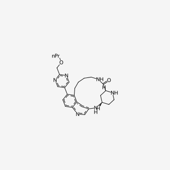 CCCOCc1ncc(-c2ccc3ncc4cc3c2CCCCNC(=O)[C@@H]2C[C@H](CCN2)N4)cn1